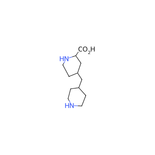 O=C(O)C1CC(CC2CCNCC2)CCN1